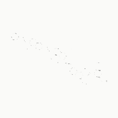 Nc1c(N=Nc2ccc3cc(S(=O)(=O)O)c(N=Nc4cc(S(=O)(=O)O)ccc4OC=O)c(O)c3c2)cc(S(=O)(=O)O)c2ccc(N=Nc3ccc4c(O)c(N=Nc5ccccc5)ccc4c3)c(O)c12